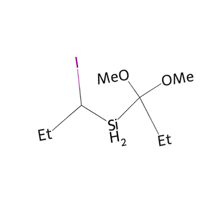 CCC(I)[SiH2]C(CC)(OC)OC